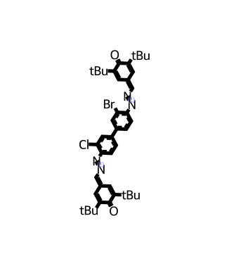 CC(C)(C)C1=CC(=C/N=N/c2ccc(-c3ccc(/N=N/C=C4C=C(C(C)(C)C)C(=O)C(C(C)(C)C)=C4)c(Br)c3)cc2Cl)C=C(C(C)(C)C)C1=O